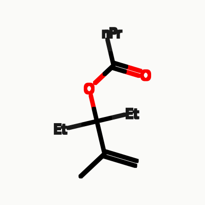 C=C(C)C(CC)(CC)OC(=O)CCC